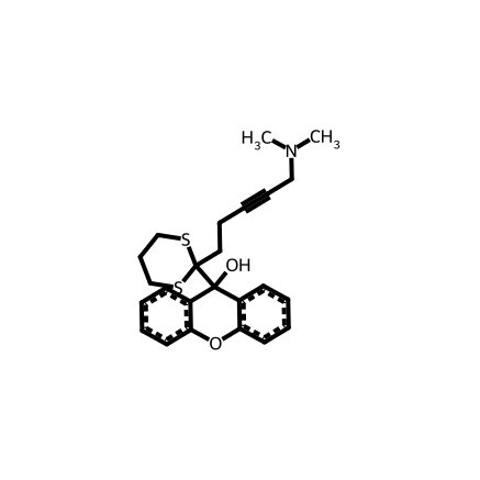 CN(C)CC#CCCC1(C2(O)c3ccccc3Oc3ccccc32)SCCCS1